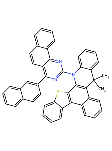 CC1(C)c2ccccc2N(c2nc(-c3ccc4ccccc4c3)c3ccc4ccccc4c3n2)c2c1c1ccccc1c1c2sc2ccccc21